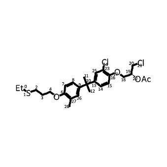 CCSCCCOc1ccc(C(C)(C)c2ccc(OC[C@H](CCl)OC(C)=O)c(Cl)c2)cc1C